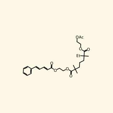 CCC(C)(CCCC(C)(C)C(=O)OCCOC(=O)/C=C/C=C/c1ccccc1)C(=O)OCCOC(C)=O